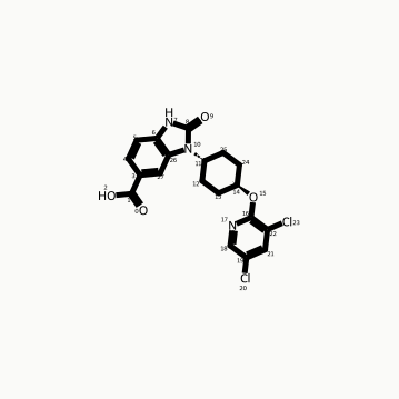 O=C(O)c1ccc2[nH]c(=O)n([C@H]3CC[C@H](Oc4ncc(Cl)cc4Cl)CC3)c2c1